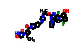 C#Cc1c(F)ccc2cc(O)cc(-c3ncc4c(N5CC6CCC(C5)N6)nc(OC[C@H](C)CN5CCN(CC6CCC7(CC6)CCN(C(=O)c6ccc(CC)c(N8CCC(=O)NC8=O)c6)CC7)CC5)nc4c3F)c12